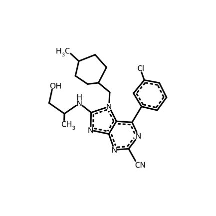 CC1CCC(Cn2c(NC(C)CO)nc3nc(C#N)nc(-c4cccc(Cl)c4)c32)CC1